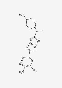 COC1CCC(N(C)c2nn3cc(-c4cnc(N)c(C(F)(F)F)c4)nc3s2)CC1